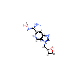 NC(=NO)c1cc2ncn(C[C@@H]3CCO3)c2cn1